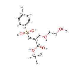 COCCOC/C(=C\S(=O)(=O)c1ccc(C)cc1)C(=O)OC(C)(C)C